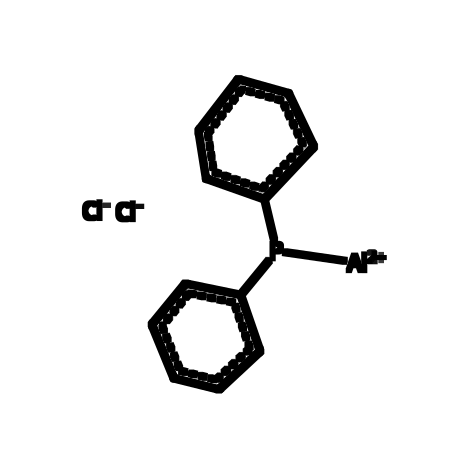 [Al+2][P](c1ccccc1)c1ccccc1.[Cl-].[Cl-]